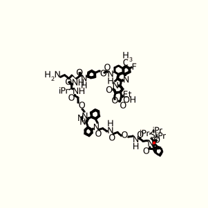 CC[C@@]1(O)C(=O)OCc2c1cc1n(c2=O)Cc2c-1nc1cc(F)c(C)c3c1c2[C@@H](NC(=O)OCc1ccc(NC(=O)[C@H](CCCCN)NC(=O)[C@@H](NC(=O)CCOCCn2nnc4c2-c2ccccc2CN(C(=O)CCNC(=O)CCOCCNC(=O)CCN2C(=O)C5C6C=CC(C6CCC[Si](C(C)C)(C(C)C)C(C)C)C5C2=O)c2ccccc2-4)C(C)C)cc1)CC3